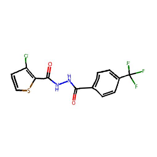 O=C(NNC(=O)c1sccc1Cl)c1ccc(C(F)(F)F)cc1